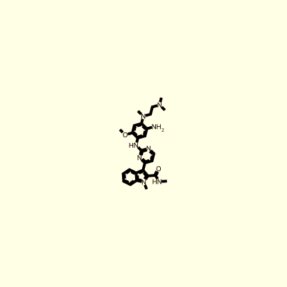 CNC(=O)c1c(-c2ccnc(Nc3cc(N)c(N(C)CCN(C)C)cc3OC)n2)c2ccccc2n1C